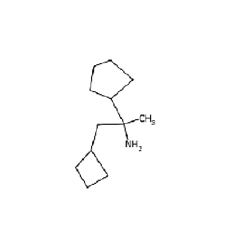 CC(N)(CC1CCC1)C1CCCC1